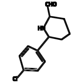 O=CC1CCCC(c2ccc(Cl)cc2)N1